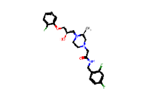 C[C@H]1CN(CC(=O)NCc2ccc(F)cc2F)CCN1C[C@@H](O)COc1ccccc1F